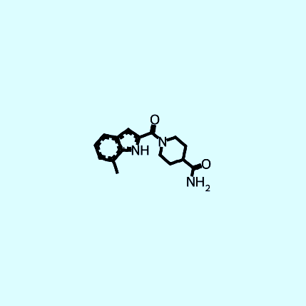 Cc1cccc2cc(C(=O)N3CCC(C(N)=O)CC3)[nH]c12